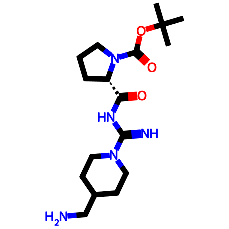 CC(C)(C)OC(=O)N1CCC[C@H]1C(=O)NC(=N)N1CCC(CN)CC1